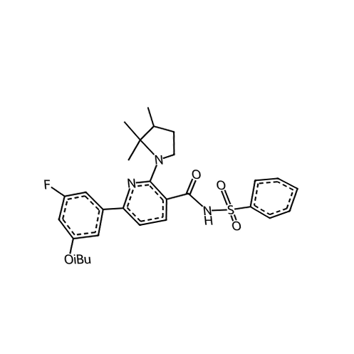 CC(C)COc1cc(F)cc(-c2ccc(C(=O)NS(=O)(=O)c3ccccc3)c(N3CCC(C)C3(C)C)n2)c1